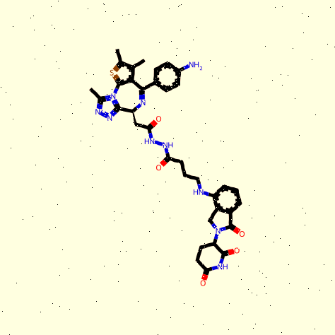 Cc1sc2c(c1C)C(c1ccc(N)cc1)=N[C@@H](CC(=O)NNC(=O)CCCNc1cccc3c1CN(C1CCC(=O)NC1=O)C3=O)c1nnc(C)n1-2